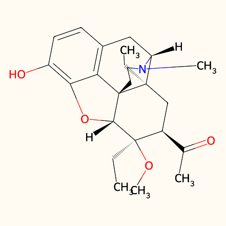 CC[C@@]1(OC)[C@H](C(C)=O)C[C@]2(CC)[C@H]3Cc4ccc(O)c5c4[C@@]2(CCN3C)[C@H]1O5